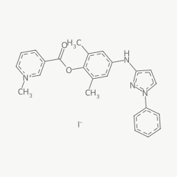 Cc1cc(Nc2ccn(-c3ccccc3)n2)cc(C)c1OC(=O)c1ccc[n+](C)c1.[I-]